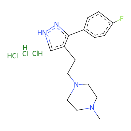 CN1CCN(CCc2c[nH]nc2-c2ccc(F)cc2)CC1.Cl.Cl.Cl